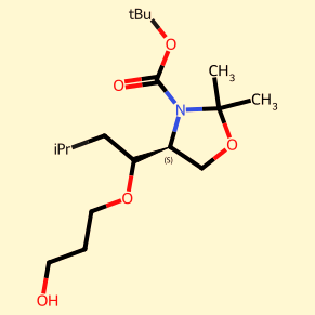 CC(C)CC(OCCCO)[C@@H]1COC(C)(C)N1C(=O)OC(C)(C)C